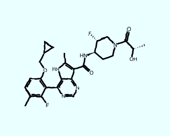 Cc1ccc(OCC2CC2)c(-c2ncnc3c(C(=O)N[C@@H]4CCN(C(=O)[C@H](C)O)C[C@H]4F)c(C)[nH]c23)c1F